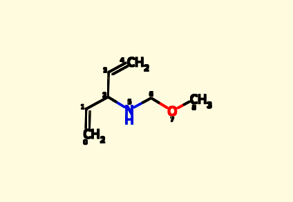 C=CC(C=C)NCOC